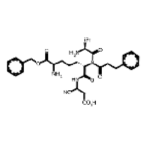 CC(C)[C@H](N)C(=O)N(C(=O)CCc1ccccc1)[C@@H](CCCC(N)C(=O)OCc1ccccc1)C(=O)NC(C#N)CC(=O)O